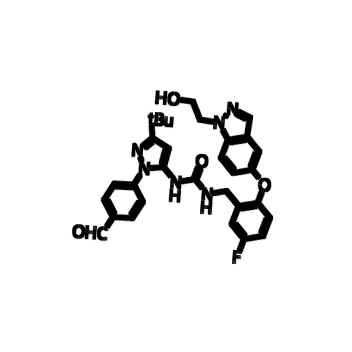 CC(C)(C)c1cc(NC(=O)NCc2cc(F)ccc2Oc2ccc3c(cnn3CCO)c2)n(-c2ccc(C=O)cc2)n1